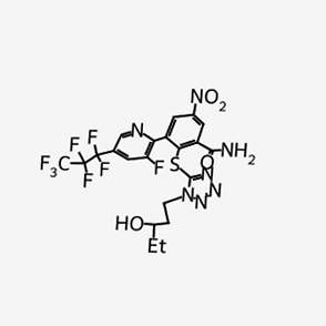 CCC(O)CCn1nnnc1Sc1c(C(N)=O)cc([N+](=O)[O-])cc1-c1ncc(C(F)(F)C(F)(F)C(F)(F)F)cc1F